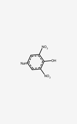 O=[N+]([O-])c1cccc([N+](=O)[O-])c1O.[NaH]